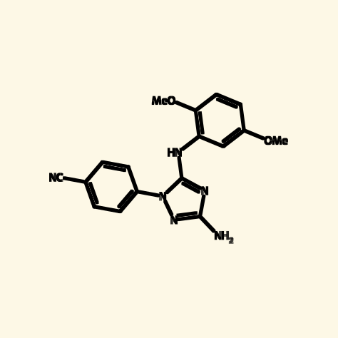 COc1ccc(OC)c(Nc2nc(N)nn2-c2ccc(C#N)cc2)c1